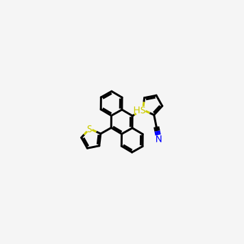 N#CC1=CC=C[SH]1c1c2ccccc2c(-c2cccs2)c2ccccc12